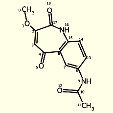 COc1cc(=O)c2cc(NC(C)=O)ccc2[nH]c1=O